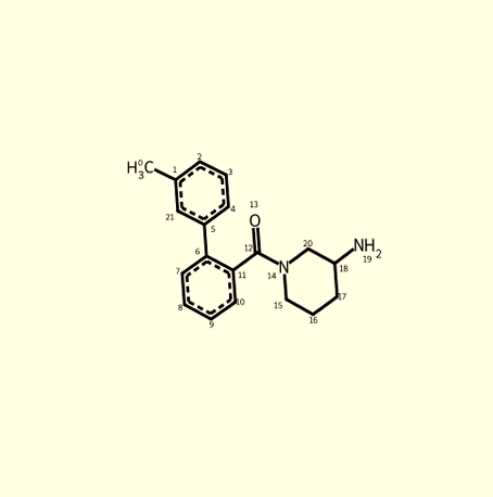 Cc1cccc(-c2ccccc2C(=O)N2CCCC(N)C2)c1